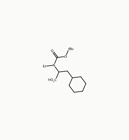 CCN(C(=O)OC(C)(C)C)C(CC1CCCCC1)C(=O)O